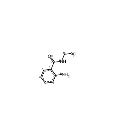 Nc1ccccc1C(=O)N[CH2][Sn]